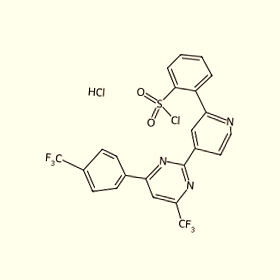 Cl.O=S(=O)(Cl)c1ccccc1-c1cc(-c2nc(-c3ccc(C(F)(F)F)cc3)cc(C(F)(F)F)n2)ccn1